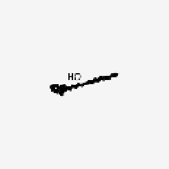 CCCCCCCCCCCCCCCCCCCC[N+](CC)(CC)c1ccccc1.[OH-]